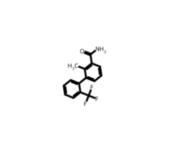 Cc1c(C(N)=O)cccc1-c1ccccc1C(F)(F)F